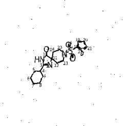 O=C1NC(C2CCCCC2)=NC12CCN(S(=O)(=O)c1cccs1)CC2